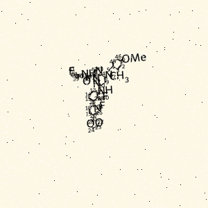 COc1ccc(CN(C)c2cc(Nc3cccc(-c4ccc(C5OCCO5)cn4)c3C(F)F)nn3c(C(=O)N[C@@H]4C[C@@H]4F)cnc23)cc1